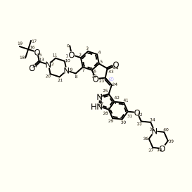 COc1ccc2c(c1CN1CCN(C(=O)OC(C)(C)C)CC1)O/C(=C\c1n[nH]c3ccc(OCCN4CCOCC4)cc13)C2=O